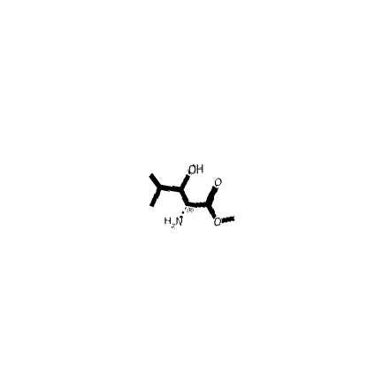 COC(=O)[C@H](N)C(O)C(C)C